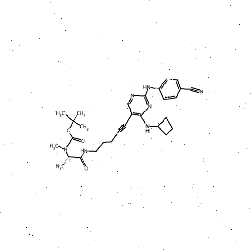 C[C@@H](C(=O)NCCCC#Cc1cnc(Nc2ccc(C#N)cc2)nc1NC1CCC1)N(C)C(=O)OC(C)(C)C